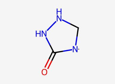 O=C1[N]CNN1